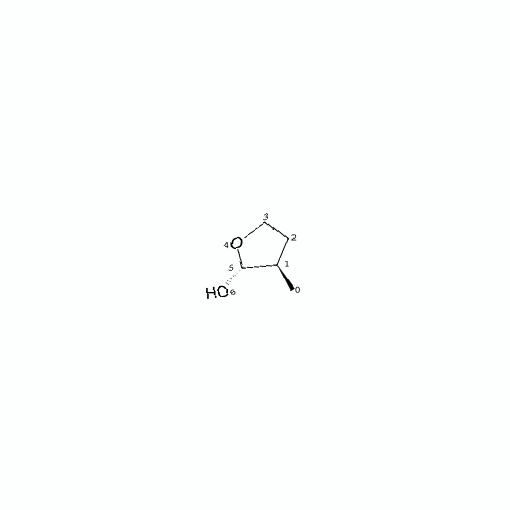 C[C@@H]1CCO[C@H]1O